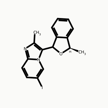 Cc1nc2ccc(I)cn2c1C1O[C@H](C)c2ccccc21